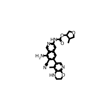 Cc1c(-c2cc3cc(NC(=O)OC4COCC4C)ncc3c(N)c2C#N)cnc2c1NCCO2